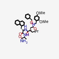 COc1ccc(CN(OCc2ccccc2)C(=O)C[C@@H](CC(C)C)C(=O)N[C@@H](Cc2cccc3ccccc23)C(=O)NC(C)C(N)=O)c(OC)c1